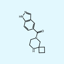 O=C(c1ccc2[nH]ncc2c1)N1CCNC2(CCC2)C1